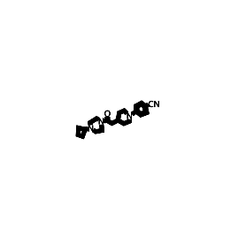 N#Cc1ccc(N2CCC(CC(=O)N3CCN(C4CCC4)CC3)CC2)cc1